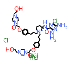 Cl.Cl.Nc1nc(N)c(C(=O)N[C@H]2CCC[N+](CCCc3ccc(OCC(=O)N4CCN(CCO)CC4)cc3)(CCCc3ccc(OCC(=O)N4CCN(CCO)CC4)cc3)C2)nc1Cl.[Cl-]